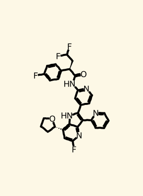 O=C(Nc1cc(-c2[nH]c3c([C@@H]4CCCO4)cc(F)nc3c2-c2ccccn2)ccn1)[C@H](CC(F)F)c1ccc(F)cc1